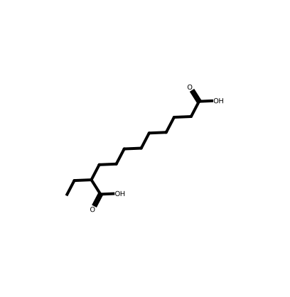 CCC(CCCCCCCCC(=O)O)C(=O)O